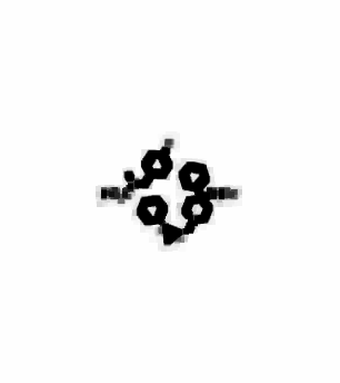 CC(=O)NC1(c2ccccc2)CCN(C[C@@H]2C[C@@H]2c2ccccc2)CC1.CN(Cc1ccc(F)cc1)C(=O)O